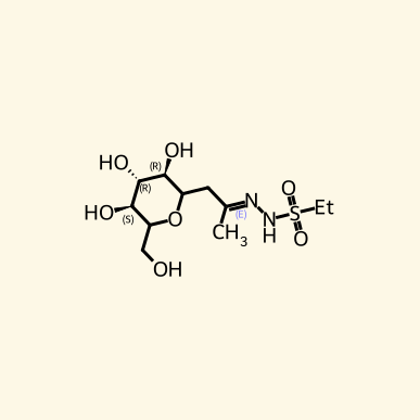 CCS(=O)(=O)N/N=C(\C)CC1OC(CO)[C@@H](O)[C@H](O)[C@H]1O